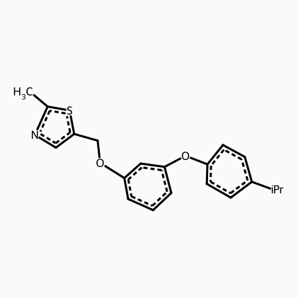 Cc1ncc(COc2cccc(Oc3ccc(C(C)C)cc3)c2)s1